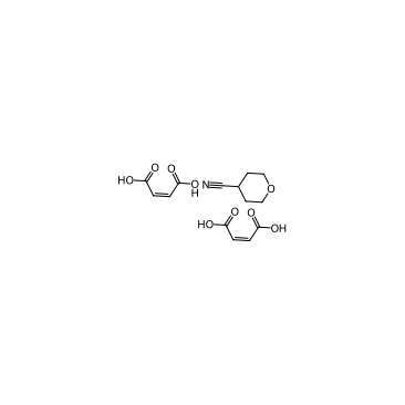 N#CC1CCOCC1.O=C(O)/C=C\C(=O)O.O=C(O)/C=C\C(=O)O